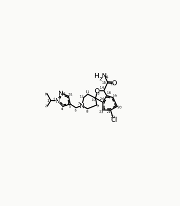 CC(C)n1cc(CN2CCC3(CC2)OC(C(N)=O)c2ccc(Cl)cc23)cn1